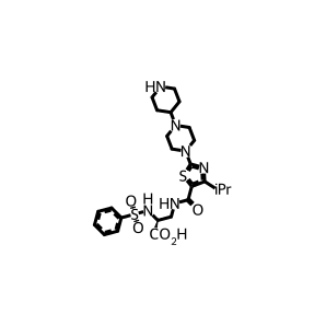 CC(C)c1nc(N2CCN(C3CCNCC3)CC2)sc1C(=O)NC[C@H](NS(=O)(=O)c1ccccc1)C(=O)O